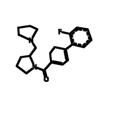 O=C(C1=CC=C(c2ccccc2F)CC1)N1CCCC1CN1CCCC1